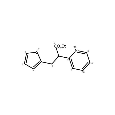 CCOC(=O)C(Cc1cccs1)c1ccccn1